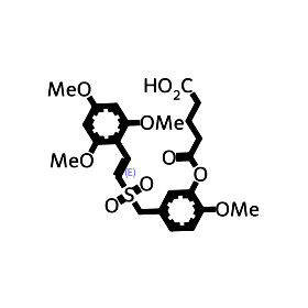 COc1cc(OC)c(/C=C/S(=O)(=O)Cc2ccc(OC)c(OC(=O)CCCC(=O)O)c2)c(OC)c1